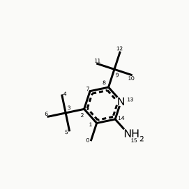 Cc1c(C(C)(C)C)cc(C(C)(C)C)nc1N